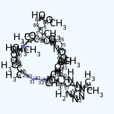 CO[C@@H]1C[C@@H](CC(C)[C@@H]2CC(=O)[C@H](C)/C=C(\C)[C@@H](O)[C@@H](OC)C(=O)[C@H](C)C[C@H](C)/C=C/C=C/C=C(/C)[C@H](Oc3ccc4[nH]c(-c5nn(C(C)C)c6ncnc(N)c56)cc4c3)C[C@@H]3CC[C@@H](C)[C@@](O)(O3)C(=O)C(=O)N3CCCC[C@H]3C(=O)O2)CC[C@H]1O